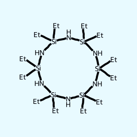 CC[Si]1(CC)N[Si](CC)(CC)N[Si](CC)(CC)N[Si](CC)(CC)N[Si](CC)(CC)N[Si](CC)(CC)N1